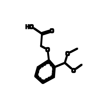 COC(OC)c1ccccc1OCC(=O)O